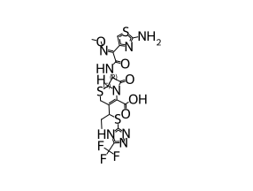 CCC(Sc1nnc(C(F)(F)F)[nH]1)C1=C(C(=O)O)N2C(=O)[C@@H](NC(=O)C(=NOC)c3csc(N)n3)[C@@H]2SC1